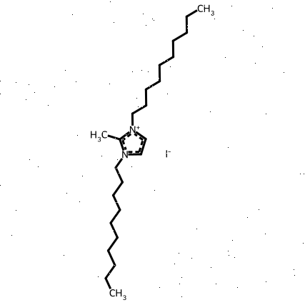 CCCCCCCCCCn1cc[n+](CCCCCCCCCC)c1C.[I-]